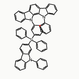 c1ccc(-n2c3ccccc3c3ccc([Si](c4ccccc4)(c4ccccc4)c4cccc(-n5c6ccccc6c6ccc7c8ccccc8n(-c8ccccc8)c7c65)c4)cc32)cc1